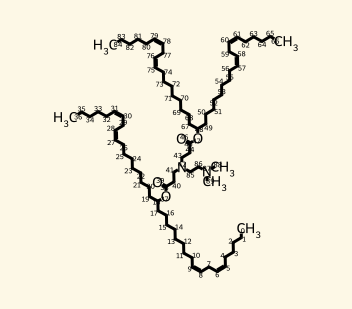 CCCCC/C=C\C/C=C\CCCCCCCCC(CCCCCCCC/C=C\C/C=C\CCCCC)OC(=O)CCN(CCC(=O)OC(CCCCCCCC/C=C\C/C=C\CCCCC)CCCCCCCC/C=C\C/C=C\CCCCC)CCN(C)C